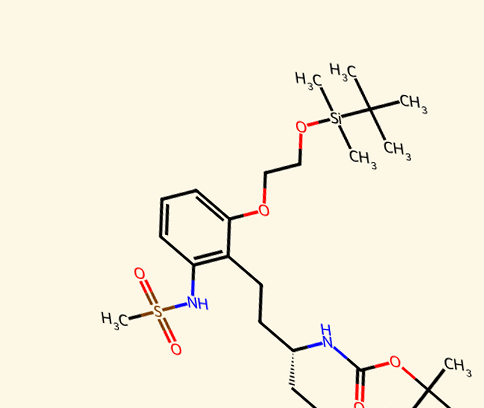 CC[C@H](CCc1c(NS(C)(=O)=O)cccc1OCCO[Si](C)(C)C(C)(C)C)NC(=O)OC(C)(C)C